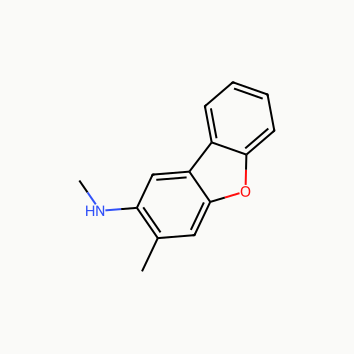 CNc1cc2c(cc1C)oc1ccccc12